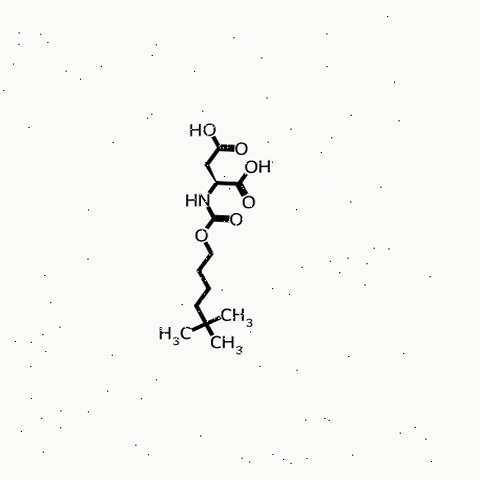 CC(C)(C)CCCCOC(=O)N[C@@H](CC(=O)O)C(=O)O